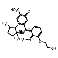 CCC(C)/C(=C1/C=CC=C(OCCS)/C1=N/C)c1cc(=O)c(C(=O)O)cn1C1C(C)CCC1(C)C